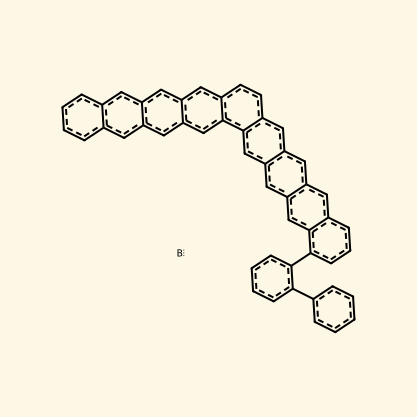 [B].c1ccc(-c2ccccc2-c2cccc3cc4cc5cc6ccc7cc8cc9cc%10ccccc%10cc9cc8cc7c6cc5cc4cc23)cc1